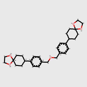 c1cc(C2CCC3(CC2)OCCO3)ccc1COCc1ccc(C2CCC3(CC2)OCCO3)cc1